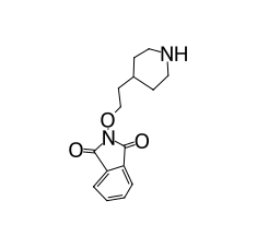 O=C1c2ccccc2C(=O)N1OCCC1CCNCC1